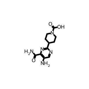 NC(=O)c1nc(C2CCN(C(=O)O)CC2)ncc1N